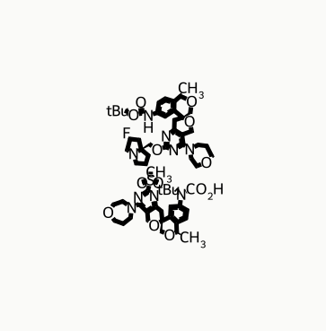 C[C@@H]1OC[C@@]2(Cc3nc(OC[C@@]45CCCN4C[C@H](F)C5)nc(N4CCCOCC4)c3CO2)c2cc(NC(=O)OC(C)(C)C)ccc21.C[C@@H]1OC[C@@]2(Cc3nc(S(C)(=O)=O)nc(N4CCCOCC4)c3CO2)c2cc(N(C(=O)O)C(C)(C)C)ccc21